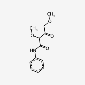 COCC(=O)C(OC)C(=O)Nc1ccccc1